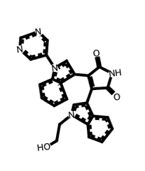 O=C1NC(=O)C(c2cn(-c3cncnc3)c3ccccc23)=C1c1cn(CCO)c2ccccc12